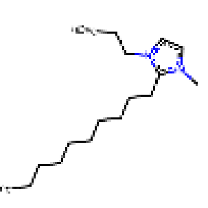 CCCCCCCCCCCCCCCCCCCc1n(C)cc[n+]1CCCCCCCCCCCC